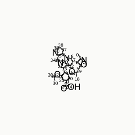 Cc1noc(C)c1-c1cnc2c(c1)c(-c1c(OC(C)C)cc(C(=O)O)cc1OC(C)C)cn2[C@@H](C)c1ccccn1